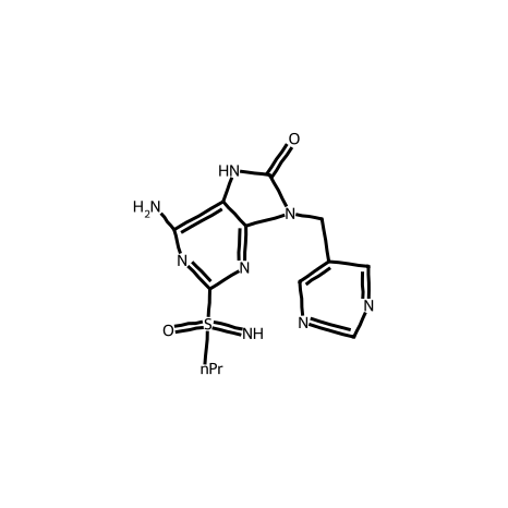 CCCS(=N)(=O)c1nc(N)c2[nH]c(=O)n(Cc3cncnc3)c2n1